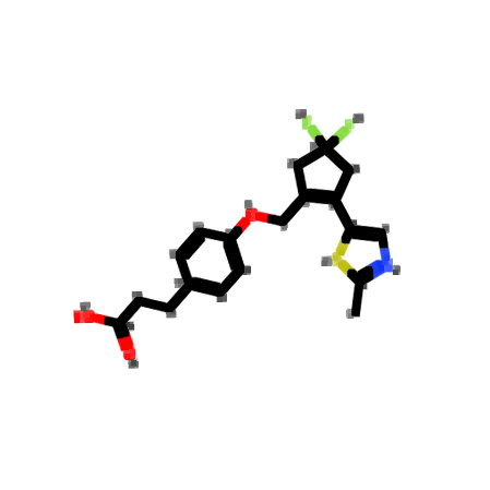 Cc1ncc(C2=C(COc3ccc(CCC(=O)O)cc3)CC(F)(F)C2)s1